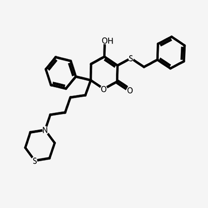 O=C1OC(CCCCN2CCSCC2)(c2ccccc2)CC(O)=C1SCc1ccccc1